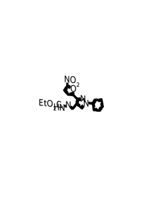 CCOC(=O)NN=Cc1cn(-c2ccccc2)nc1-c1ccc([N+](=O)[O-])o1